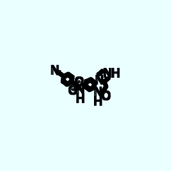 N#Cc1ccc(S(=O)(=O)Nc2ccc3c(c2)NC(=O)CC2CNCCN32)cc1